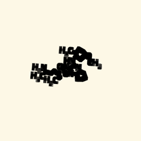 C=C/C(=C\C=C(\C)N)S(=O)(=O)Nc1nc2ccccc2nc1Nc1cc(OC)ccc1C